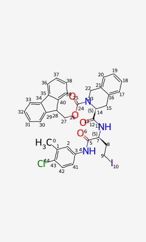 Cc1cc(NC(=O)[C@H](CCI)NC(=O)[C@@H]2Cc3ccccc3CN2C(=O)OCC2c3ccccc3-c3ccccc32)ccc1Cl